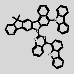 CC1(C)c2ccccc2-c2cc3c(cc21)c1c2ccccc2c(-n2c4ccccc4c4ccccc42)cc1n3-c1nc(-c2cccc3c2oc2ccccc23)c2ccccc2n1